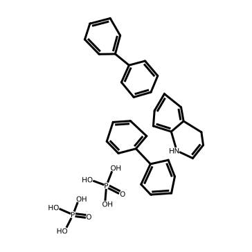 C1=CNc2ccccc2C1.O=P(O)(O)O.O=P(O)(O)O.c1ccc(-c2ccccc2)cc1.c1ccc(-c2ccccc2)cc1